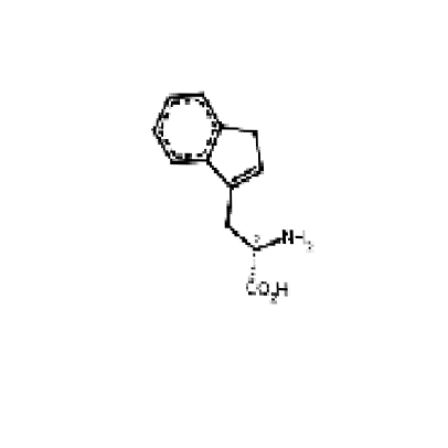 N[C@@H](CC1=CCc2ccccc21)C(=O)O